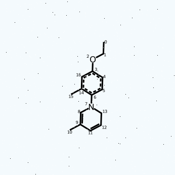 CCOc1ccc(N2C=C(C)C=CC2)c(C)c1